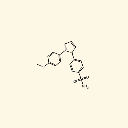 CSc1ccc(-c2cccn2-c2ccc(S(N)(=O)=O)cc2)cc1